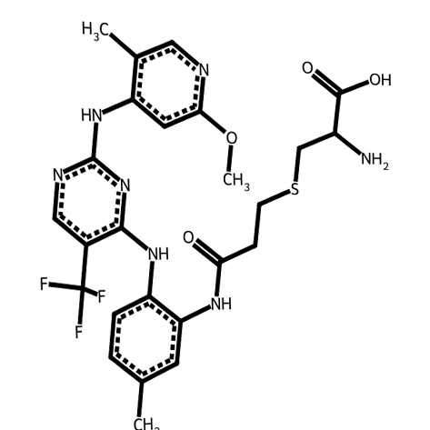 COc1cc(Nc2ncc(C(F)(F)F)c(Nc3ccc(C)cc3NC(=O)CCSCC(N)C(=O)O)n2)c(C)cn1